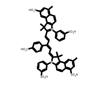 Cc1cc(S(=O)(=O)O)c2ccc3c(c2c1)C(C)(C)\C(=C/C=C(/C=C/C1=[N+](c2cccc(S(=O)(=O)O)c2)c2ccc4c(C)cc(S(=O)(=O)O)cc4c2C1(C)C)c1ccc(C(=O)O)cc1)N3c1cccc(S(=O)(=O)O)c1